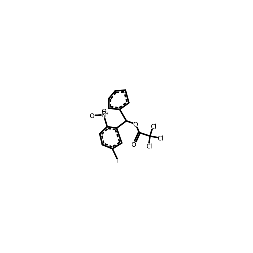 O=C(OC(c1ccccc1)c1cc(I)ccc1[N+](=O)[O-])C(Cl)(Cl)Cl